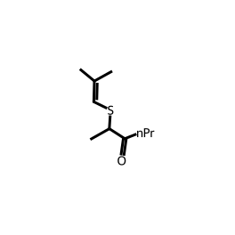 CCCC(=O)C(C)SC=C(C)C